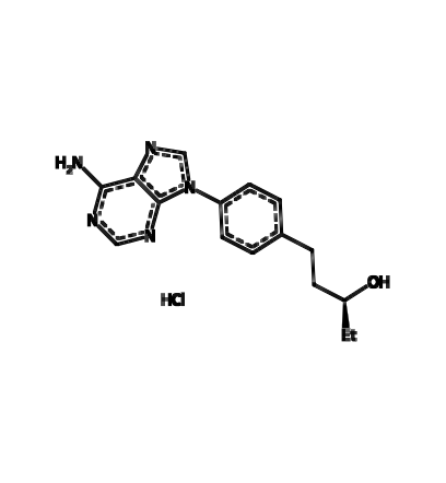 CC[C@H](O)CCc1ccc(-n2cnc3c(N)ncnc32)cc1.Cl